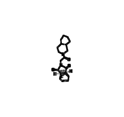 O=C(CN1C(=O)[C@@H]2C3C=CC(CC3)[C@@H]2C1=O)N1CCC2CCCCC2C1